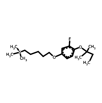 CCC(C)(C)Oc1ccc(OCCCCCS(C)(C)C)cc1F